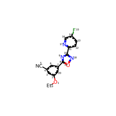 CCOc1cc(C#N)cc(-c2nc(-c3ccc(F)cn3)no2)c1